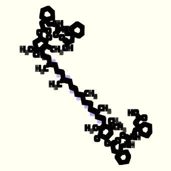 CC1=C(/C=C/C(C)=C/C=C/C(C)=C/C=C/C=C(C)/C=C/C=C(C)/C=C/C2=C(C)C(=O)C(OC(=O)CC3(CNC(=O)NCC4(CC(=O)O)CCCCC4)CCCCC3)CC2(C)C)C(C)(C)CC(OC(=O)CC2(CNC(=O)NCC3(CC(=O)O)CCCCC3)CCCCC2)C1=O